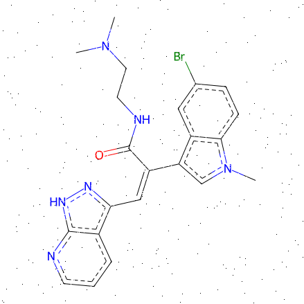 CN(C)CCNC(=O)C(=Cc1n[nH]c2ncccc12)c1cn(C)c2ccc(Br)cc12